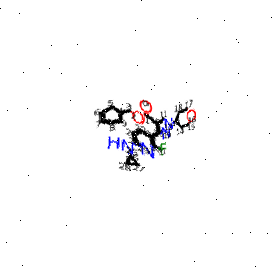 O=C(OCc1ccccc1)c1cn(C2CCOCC2)nc1-c1ccc(NC2CC2)nc1F